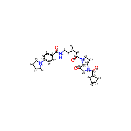 CC(CCNC(=O)c1ccc(N2CCCC2)cc1)CC(=O)N1CCC2C1C(=O)CN2C(=O)C1CC=CC1